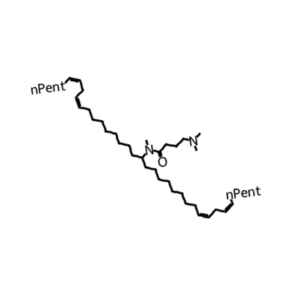 CCCCC/C=C\C/C=C\CCCCCCCCC(CCCCCCCC/C=C\C/C=C\CCCCC)N(C)C(=O)CCCN(C)C